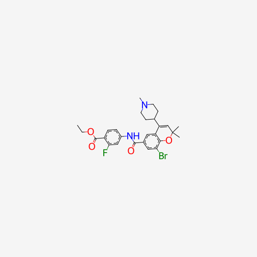 CCOC(=O)c1ccc(NC(=O)c2cc(Br)c3c(c2)C(C2CCN(C)CC2)=CC(C)(C)O3)cc1F